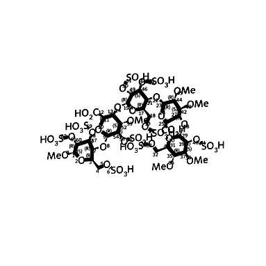 CO[C@H]1O[C@H](COS(=O)(=O)O)[C@@H](O[C@@H]2O[C@@H](C(=O)O)[C@@H](O[C@H]3O[C@H](COS(=O)(=O)O)[C@@H](O[C@@H]4O[C@H](C(=O)O)[C@@H](O[C@H]5O[C@H](COS(=O)(=O)O)[C@@H](OC)[C@H](OC)[C@H]5OS(=O)(=O)O)[C@H](OC)[C@H]4OC)[C@H](OS(=O)(=O)O)[C@H]3OS(=O)(=O)O)[C@H](OC)[C@H]2OS(=O)(=O)O)[C@H](OS(=O)(=O)O)[C@H]1OS(=O)(=O)O